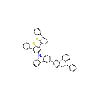 C1=CC2Sc3c(-c4cc(-n5c6ccccc6c6cc(-c7ccc8cc(-c9ccccc9)c9ccccc9c8c7)ccc65)cc5c4sc4ccccc45)cccc3C2C=C1